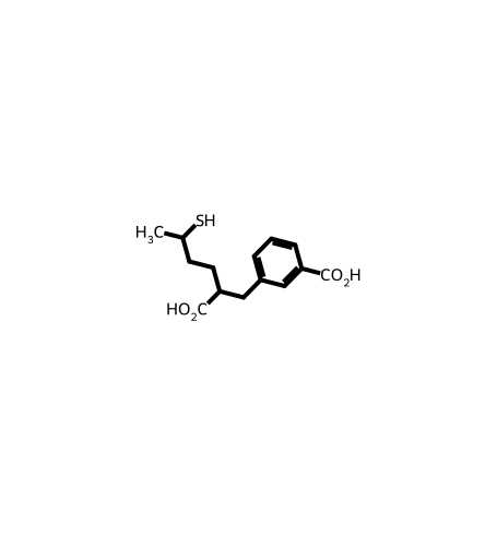 CC(S)CCC(Cc1cccc(C(=O)O)c1)C(=O)O